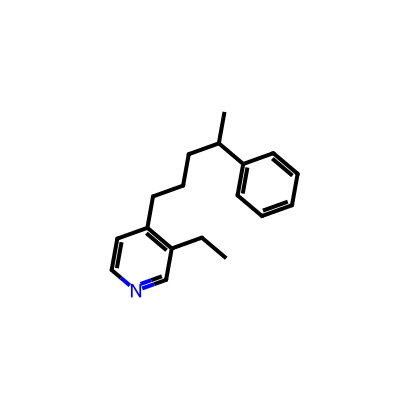 CCc1cnccc1CCCC(C)c1ccccc1